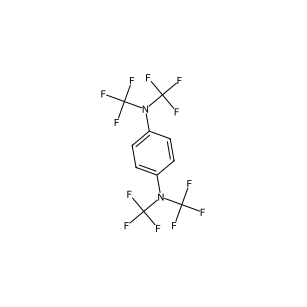 FC(F)(F)N(c1ccc(N(C(F)(F)F)C(F)(F)F)cc1)C(F)(F)F